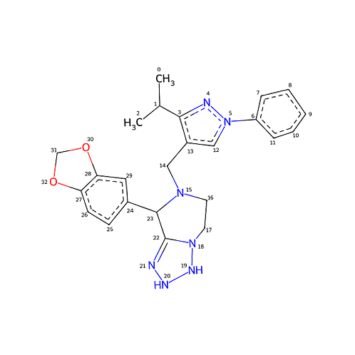 CC(C)c1nn(-c2ccccc2)cc1CN1CCN2NNN=C2C1c1ccc2c(c1)OCO2